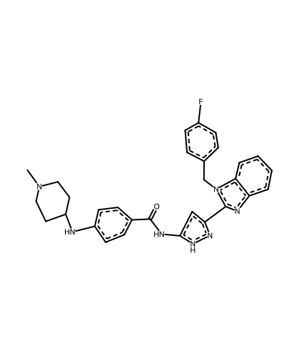 CN1CCC(Nc2ccc(C(=O)Nc3cc(-c4nc5ccccc5n4Cc4ccc(F)cc4)n[nH]3)cc2)CC1